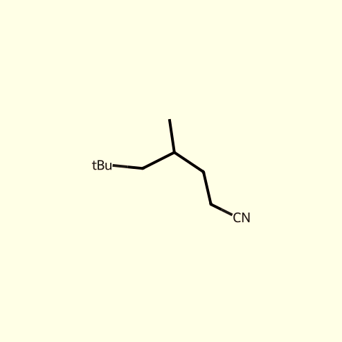 CC(CCC#N)CC(C)(C)C